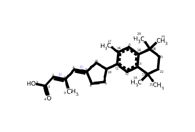 CC(=C\C(=O)O)/C=C1\CCC(c2cc3c(cc2C)C(C)(C)CCC3(C)C)C1